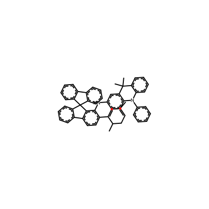 CC1=CCC(C)C(c2ccc3c(c2Nc2ccc4c(c2)C(C)(C)c2ccccc2N4c2ccccc2)C2(c4ccccc4-c4ccccc42)c2ccccc2-3)=C1